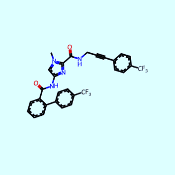 Cn1cc(NC(=O)c2ccccc2-c2ccc(C(F)(F)F)cc2)nc1C(=O)NCC#Cc1ccc(C(F)(F)F)cc1